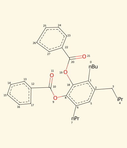 CCCCc1c(CC(C)C)cc(CCC)c(OC(=O)c2ccccc2)c1OC(=O)c1ccccc1